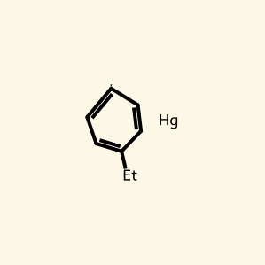 CCc1cc[c]cc1.[Hg]